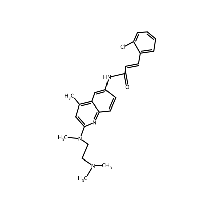 Cc1cc(N(C)CCN(C)C)nc2ccc(NC(=O)C=Cc3ccccc3Cl)cc12